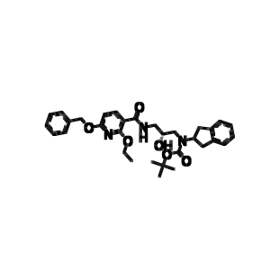 CCOc1nc(OCc2ccccc2)ccc1C(=O)NC[C@@H](O)CN(C(=O)OC(C)(C)C)C1Cc2ccccc2C1